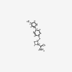 NC(=O)N1CCC1Cc1ccc(-n2cc(F)cn2)nc1